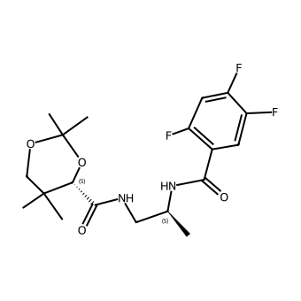 C[C@@H](CNC(=O)[C@H]1OC(C)(C)OCC1(C)C)NC(=O)c1cc(F)c(F)cc1F